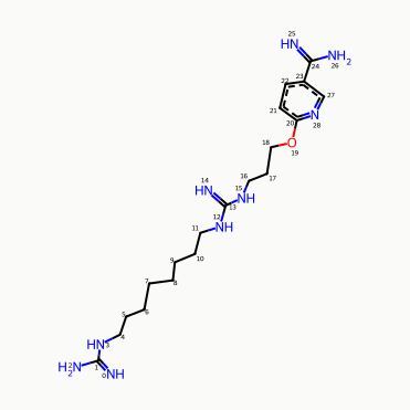 N=C(N)NCCCCCCCCNC(=N)NCCCOc1ccc(C(=N)N)cn1